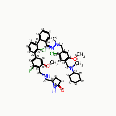 COc1cc(CN(C)/N=C\c2ccccc2-c2cccc(-c3cc(F)c(CNCC4CCC(=O)N4)c(OC)c3)c2Cl)c(Cl)cc1CN(C)C1CCCCC1